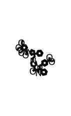 COC(=O)c1ccc(Cn2c(C(=O)C3CCN(CCC4(c5ccccc5)CCN(C(=O)c5ccc(OC)c(OC)c5OC)C4)CC3)nc3ccccc32)cc1